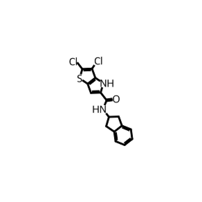 O=C(NC1Cc2ccccc2C1)c1cc2sc(Cl)c(Cl)c2[nH]1